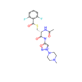 CC(=O)N[C@@H](CSC(=O)c1c(F)cccc1F)C(=O)[N-]c1c[n+](N2CCN(C)CC2)no1